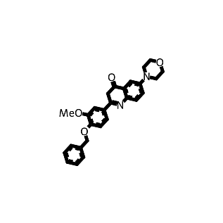 COc1cc(C2=Nc3ccc(N4CCOCC4)cc3C(=O)C2)ccc1OCc1ccccc1